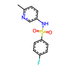 Cc1ccc(NS(=O)(=O)c2ccc(F)cc2)cn1